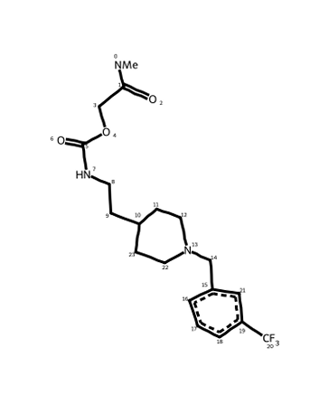 CNC(=O)COC(=O)NCCC1CCN(Cc2cccc(C(F)(F)F)c2)CC1